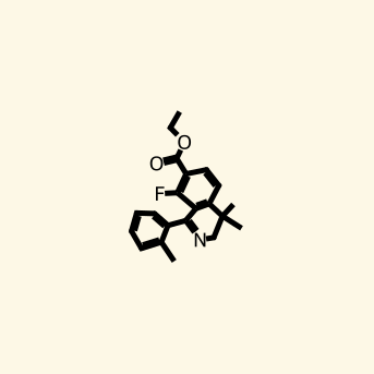 CCOC(=O)c1ccc2c(c1F)C(c1ccccc1C)=NCC2(C)C